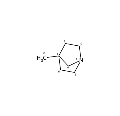 CC12CCN(CC1)C2